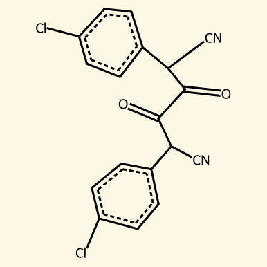 N#CC(C(=O)C(=O)C(C#N)c1ccc(Cl)cc1)c1ccc(Cl)cc1